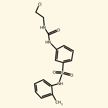 Cc1ccccc1NS(=O)(=O)c1cccc(NC(=O)NCCCl)c1